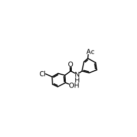 CC(=O)c1cccc(NC(=O)c2cc(Cl)ccc2O)c1